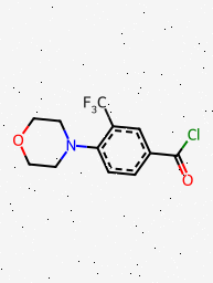 O=C(Cl)c1ccc(N2CCOCC2)c(C(F)(F)F)c1